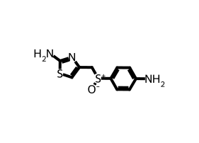 Nc1ccc([S+]([O-])Cc2csc(N)n2)cc1